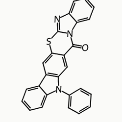 O=c1c2cc3c(cc2sc2nc4ccccc4n12)c1ccccc1n3-c1ccccc1